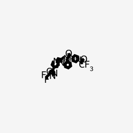 O=C(N1CCN(C(=O)C(F)(F)F)CC1)N(Cc1cn2ccc(-c3nnc(C(F)F)o3)cc2n1)c1ccccc1